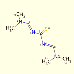 CN(C)C=NC(=S)N=CN(C)C